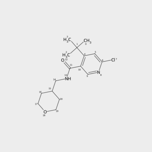 CC(C)(C)c1cc(Cl)ncc1C(=O)NCC1CCOCC1